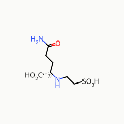 NC(=O)CC[C@H](NCCS(=O)(=O)O)C(=O)O